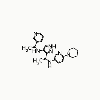 C=C(Nc1c[nH]nc1C(=C)Nc1ccc(N2CCCCC2)nc1)c1cccnc1